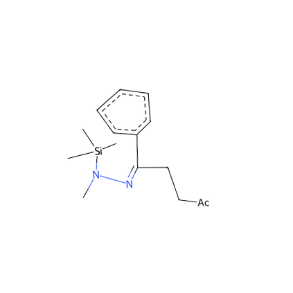 CC(=O)CC/C(=N/N(C)[Si](C)(C)C)c1ccccc1